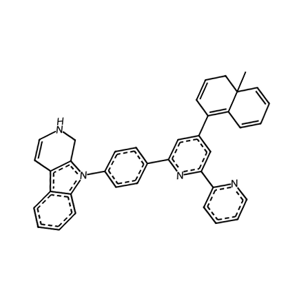 CC12C=CC=CC1=C(c1cc(-c3ccc(-n4c5c(c6ccccc64)C=CNC5)cc3)nc(-c3ccccn3)c1)C=CC2